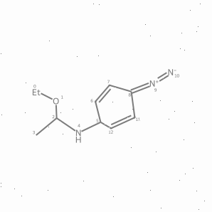 CCOC(C)NC1C=CC(=[N+]=[N-])C=C1